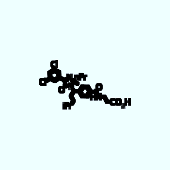 CCCC1(C)N=C(c2cc(Cl)cc(Cl)c2)C(=O)N1C(CCC(C)C)c1ccc(C(=O)NCCC(=O)O)cc1